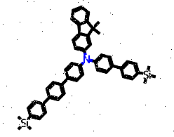 CC1(C)c2ccccc2-c2ccc(N(c3ccc(-c4ccc(-c5ccc([Si](C)(C)C)cc5)cc4)cc3)c3ccc(-c4ccc([Si](C)(C)C)cc4)cc3)cc21